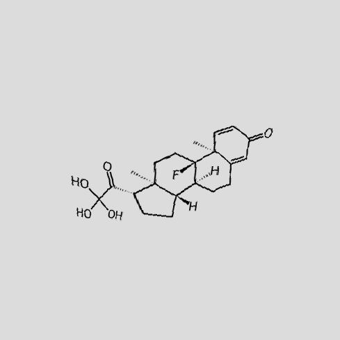 C[C@]12CC[C@@]3(F)[C@@H](CCC4=CC(=O)C=C[C@@]43C)[C@@H]1CC[C@@H]2C(=O)C(O)(O)O